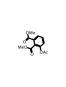 COC(=O)c1cccc(OC(C)=O)c1C(=O)OC